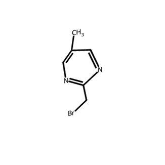 Cc1cnc(CBr)nc1